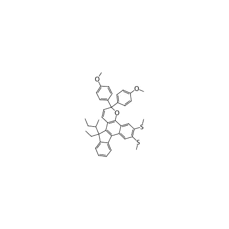 CCC(C)C1(CC)c2ccccc2-c2c1c1c(c3cc(SC)c(SC)cc23)OC(c2ccc(OC)cc2)(c2ccc(OC)cc2)C=C1